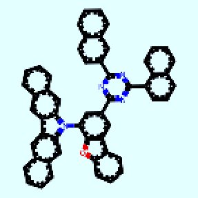 c1ccc2cc(-c3nc(-c4cc(-n5c6cc7ccccc7cc6c6cc7ccccc7cc65)c5oc6ccccc6c5c4)nc(-c4cccc5ccccc45)n3)ccc2c1